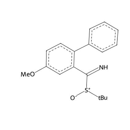 COc1ccc(-c2ccccc2)c(C(=N)[S+]([O-])C(C)(C)C)c1